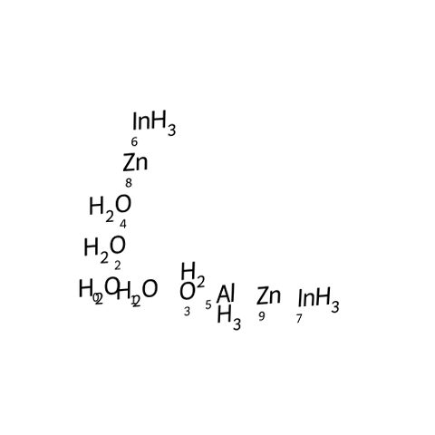 O.O.O.O.O.[AlH3].[InH3].[InH3].[Zn].[Zn]